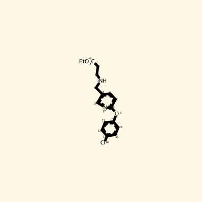 CCOC(=O)CCNCc1ccc(Oc2ccc(Cl)cc2)nc1